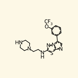 FC(F)(F)Oc1cccc(-c2cnc3sc(NCCN4CCNCC4)nn23)c1